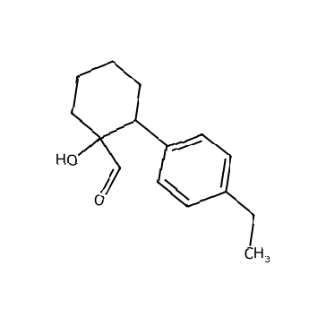 CCc1ccc(C2CCCCC2(O)C=O)cc1